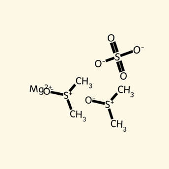 C[S+](C)[O-].C[S+](C)[O-].O=S(=O)([O-])[O-].[Mg+2]